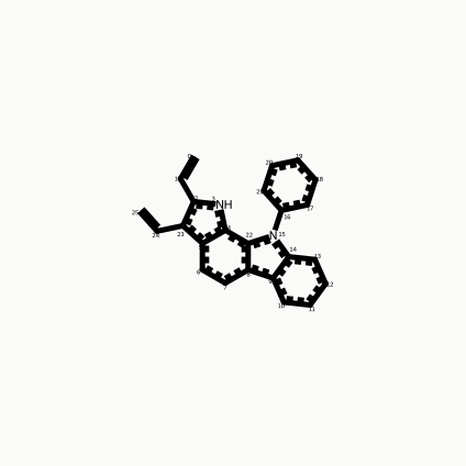 C=Cc1[nH]c2c(ccc3c4ccccc4n(-c4ccccc4)c32)c1C=C